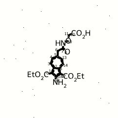 CCOC(=O)c1c2ccc(CC(=O)NOCC(=O)O)ccc-2c(C(=O)OCC)c1N